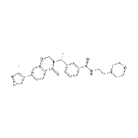 Cc1nocc1-c1ccc2c(=O)n([C@H](C)c3cccc(C(=O)NCCN4CCOCC4)c3)cnc2c1